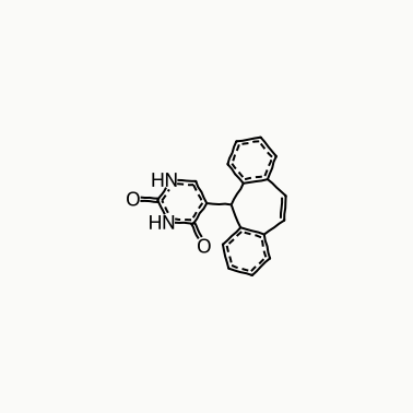 O=c1[nH]cc(C2c3ccccc3C=Cc3ccccc32)c(=O)[nH]1